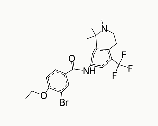 CCOc1ccc(C(=O)Nc2cc(C(F)(F)F)c3c(c2)C(C)(C)N(C)CC3)cc1Br